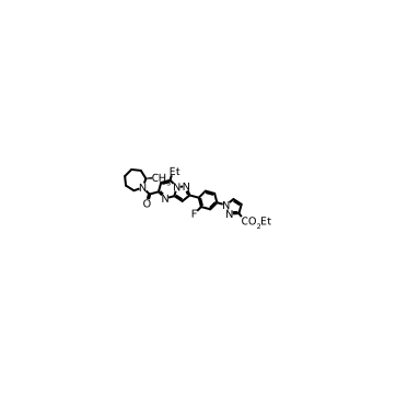 CCOC(=O)c1ccn(-c2ccc(-c3cc4nc(C(=O)N5CCCCC[C@H]5C)cc(CC)n4n3)c(F)c2)n1